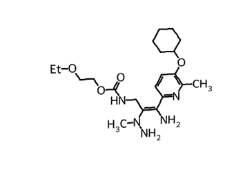 CCOCCOC(=O)NC/C(=C(/N)c1ccc(OC2CCCCC2)c(C)n1)N(C)N